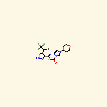 CC(C1CNCC1C1=NC2=CN(C3CCOCC3)CN2C(=O)N1)C(F)(F)F